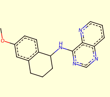 COc1ccc2c(c1)CCCC2Nc1ncnc2cccnc12